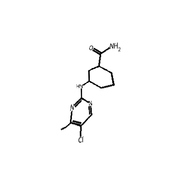 Cc1nc(NC2CCCC(C(N)=O)C2)ncc1Cl